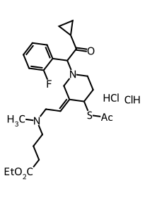 CCOC(=O)CCCN(C)CC=C1CN(C(C(=O)C2CC2)c2ccccc2F)CCC1SC(C)=O.Cl.Cl